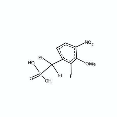 CCC(CC)(c1ccc([N+](=O)[O-])c(OC)c1F)P(=O)(O)O